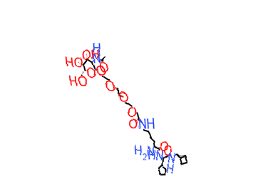 CC(=O)N[C@H]1[C@H](OCCOCCOCCOCC(=O)NCCCCC(N)C(=O)NC(C(=O)NCC2CCC2)C2CCCC2)O[C@H](CO)[C@H](O)[C@@H]1O